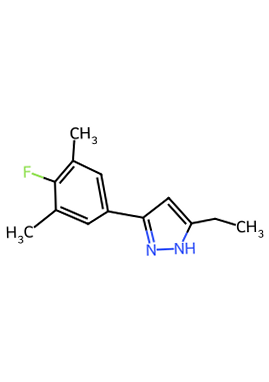 CCc1cc(-c2cc(C)c(F)c(C)c2)n[nH]1